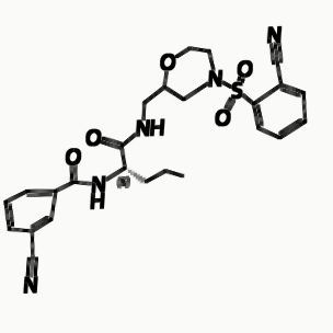 CCC[C@H](NC(=O)c1cccc(C#N)c1)C(=O)NCC1CN(S(=O)(=O)c2ccccc2C#N)CCO1